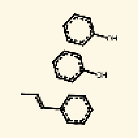 CC=Cc1ccccc1.Oc1ccccc1.Oc1ccccc1